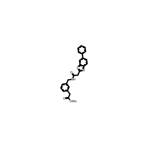 COC(=O)Cc1cccc(CNC(=O)Cc2nc3ccc(-c4ccccc4)cc3s2)c1